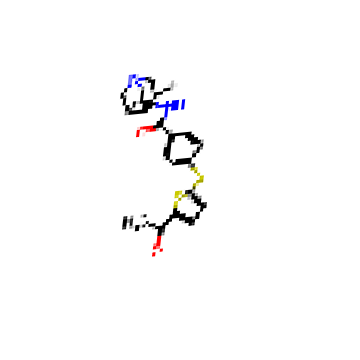 CC(=O)c1ccc(Sc2ccc(C(=O)N[C@H]3CN4CCC3CC4)cc2)s1